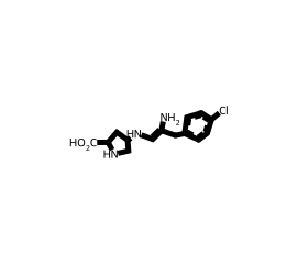 N/C(=C\NC1CNC(C(=O)O)C1)Cc1ccc(Cl)cc1